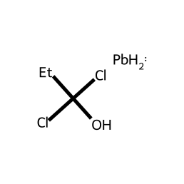 CCC(O)(Cl)Cl.[PbH2]